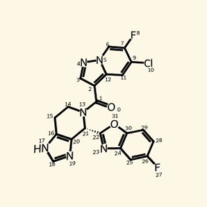 O=C(c1cnn2cc(F)c(Cl)cc12)N1CCc2[nH]cnc2[C@H]1c1nc2cc(F)ccc2o1